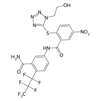 NC(=O)c1cc(NC(=O)c2cc([N+](=O)[O-])ccc2Sc2nnnn2CCO)ccc1C(F)(F)C(F)(F)C(F)(F)F